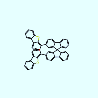 c1ccc2c(c1)-c1ccc(-c3cccc4c3sc3ccccc34)cc1C21c2ccccc2-c2ccc(-c3cccc4c3sc3ccccc34)cc21